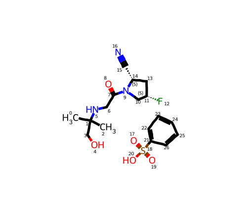 CC(C)(CO)NCC(=O)N1C[C@@H](F)C[C@H]1C#N.O=S(=O)(O)c1ccccc1